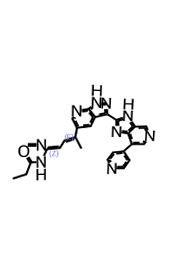 C=N/C(=C\C=C(/C)c1cnc2[nH]nc(-c3nc4c(-c5ccncc5)cncc4[nH]3)c2c1)NC(=O)CC